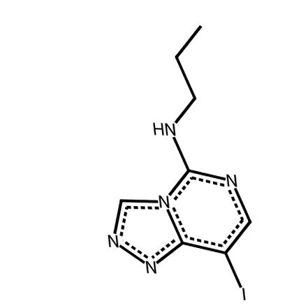 CCCNc1ncc(I)c2nncn12